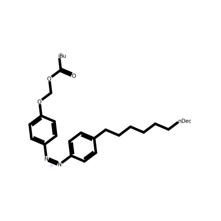 CCCCCCCCCCCCCCCCc1ccc(/N=N\c2ccc(OCOC(=O)C(C)CC)cc2)cc1